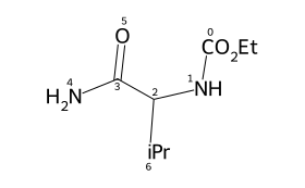 CCOC(=O)NC(C(N)=O)C(C)C